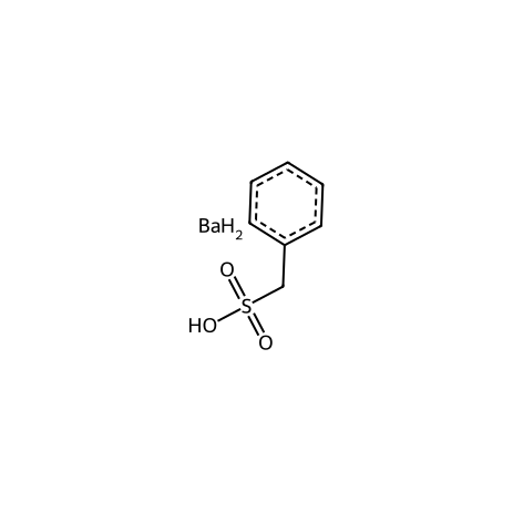 O=S(=O)(O)Cc1ccccc1.[BaH2]